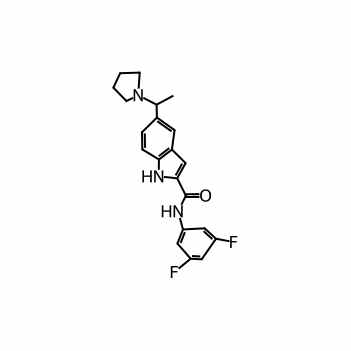 CC(c1ccc2[nH]c(C(=O)Nc3cc(F)cc(F)c3)cc2c1)N1CCCC1